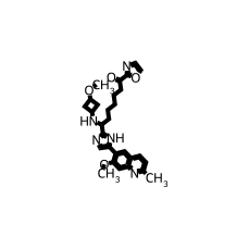 COc1cc2nc(C)ccc2cc1-c1cnc(C(CCCCCC(=O)c2ncco2)NC2CC(OC)C2)[nH]1